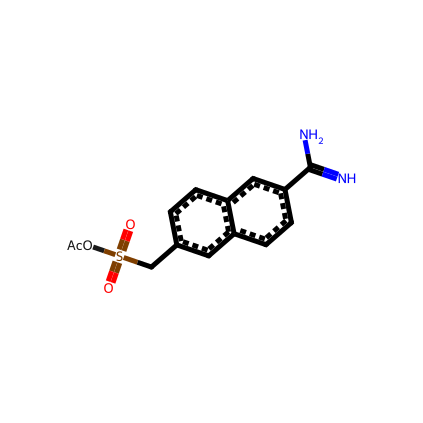 CC(=O)OS(=O)(=O)Cc1ccc2cc(C(=N)N)ccc2c1